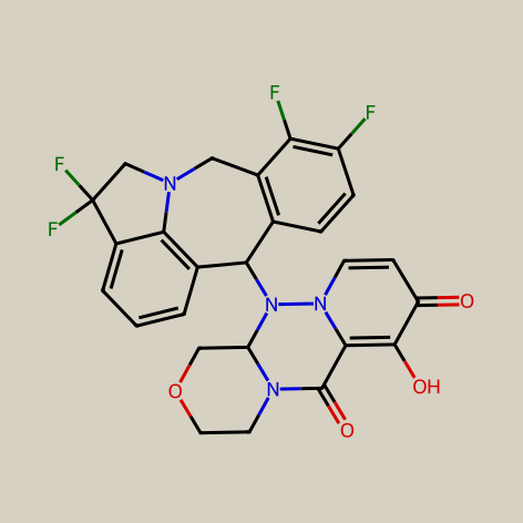 O=C1c2c(O)c(=O)ccn2N(C2c3ccc(F)c(F)c3CN3CC(F)(F)c4cccc2c43)C2COCCN12